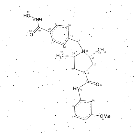 COc1cccc(NC(=O)N2C[C@@H](C)N(Cc3ccc(C(=O)NO)cc3)[C@@H](C)C2)c1